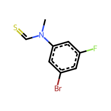 CN(C=S)c1cc(F)cc(Br)c1